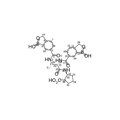 C[C@H](NC(=O)c1ccc2c(c1)B(O)OC2)[C@H](NC(=O)c1ccc2c(c1)B(O)OC2)C(=O)N[C@H]1CCC[C@@H]1C(=O)O